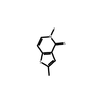 Cc1cc2c(=S)n(I)ccc2s1